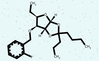 CCCCC1(CCC)O[C@H]2O[C@H](CC)[C@H](OCc3ccccc3F)[C@H]2O1